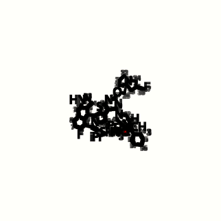 CC(C)[Si](C#Cc1c(F)ccc2cc3[nH]ncc3c(-c3nccc4c3sc3nc(OC[C@@]56CCCN5C/C(=C\F)C6)nc(N5C[C@@H]6C[C@H](O)[C@H](C5)N6C(C)(C)c5ccccc5)c34)c12)(C(C)C)C(C)C